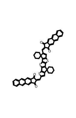 O=C1C(=CC2=Cc3sc4c5c(sc4c3C23CCCCC3)-c2sc(C=C3C(=O)c4cc6cc7ccccc7cc6cc4C3=O)cc2C52CCCCC2)C(=O)c2cc3cc4ccccc4cc3cc21